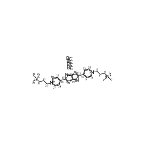 C[N+](C)(C)CCC[n+]1ccc(-c2nc3sc(-c4cc[n+](CCC[N+](C)(C)C)cc4)nc3s2)cc1.[Br-].[Br-].[Br-].[Br-]